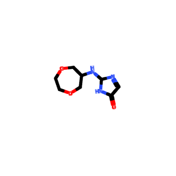 O=C1C=NC(NC2COCCOC2)N1